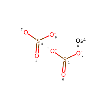 O=S([O-])[O-].O=S([O-])[O-].[Os+4]